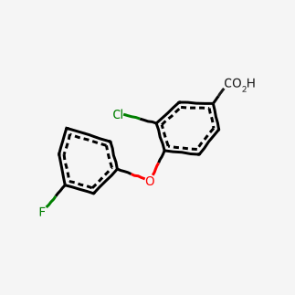 O=C(O)c1ccc(Oc2cccc(F)c2)c(Cl)c1